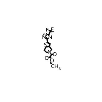 CCOC(=O)C(=O)N1CCc2sc(-c3noc(C(F)(F)F)n3)cc2C1